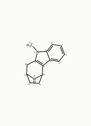 Cn1c2c(c3ccccc31)C1CCC(C2)N1